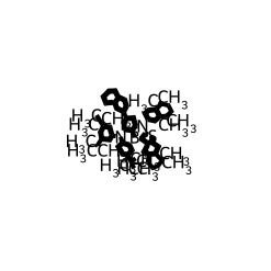 CC(C)(C)c1cc(N2c3ccc(C(C)(C)C)cc3B3c4c2cc(-c2ccc5ccccc5c2)cc4N(c2ccc4c(c2)C(C)(C)CCC4(C)C)c2sc4cc5c(cc4c23)C(C)(C)CCC5(C)C)cc(C(C)(C)C)c1